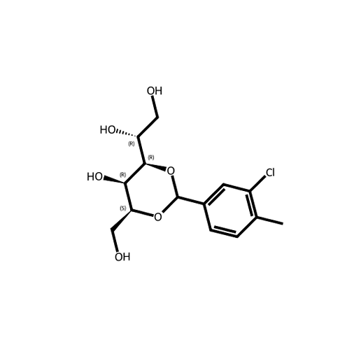 Cc1ccc(C2O[C@H]([C@H](O)CO)[C@H](O)[C@H](CO)O2)cc1Cl